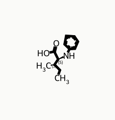 CC[C@H](C)[C@H](Nc1ccccc1)C(=O)O